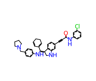 O=C(C#Cc1ccc2c(c1)NC/C2=C(\Nc1ccc(CN2CCCC2)cc1)C1=CCCC=C1)Nc1cccc(Cl)c1